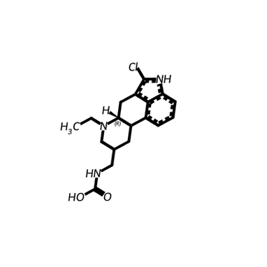 CCN1CC(CNC(=O)O)CC2c3cccc4[nH]c(Cl)c(c34)C[C@H]21